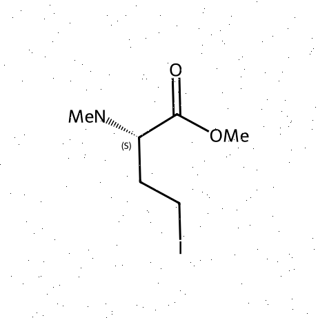 CN[C@@H](CCI)C(=O)OC